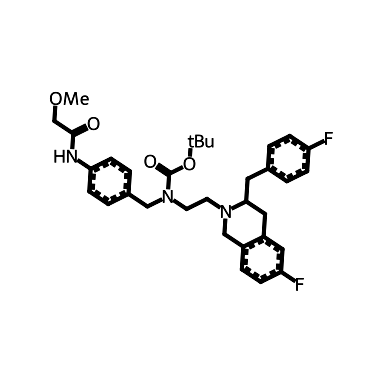 COCC(=O)Nc1ccc(CN(CCN2Cc3ccc(F)cc3CC2Cc2ccc(F)cc2)C(=O)OC(C)(C)C)cc1